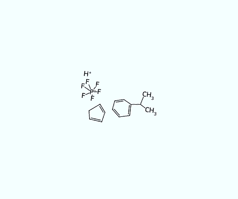 C1=CCC=C1.CC(C)c1ccccc1.F[P-](F)(F)(F)(F)F.[H+]